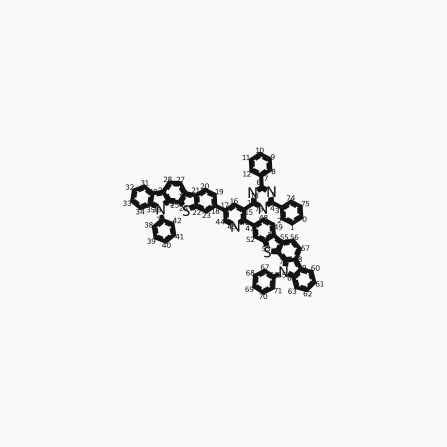 c1ccc(-c2nc(-c3ccccc3)nc(-c3cc(-c4ccc5c(c4)sc4c5ccc5c6ccccc6n(-c6ccccc6)c54)cnc3-c3ccc4c(c3)sc3c4ccc4c5ccccc5n(-c5ccccc5)c43)n2)cc1